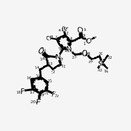 COC(=O)c1c(Br)c(Cl)c(N2CCC(Cc3cc(F)c(F)c(F)c3)C2=O)n1COCC[Si](C)(C)C